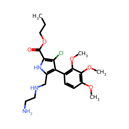 CCCOC(=O)c1[nH]c(CNCCN)c(-c2ccc(OC)c(OC)c2OC)c1Cl